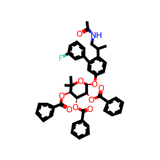 CC(=O)NCC(C)c1ccc(O[C@@H]2OC(C)(C)[C@H](OC(=O)c3ccccc3)[C@@H](OC(=O)c3ccccc3)[C@H]2OC(=O)c2ccccc2)cc1-c1cccc(F)c1